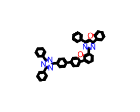 c1ccc(-c2nc(-c3ccccc3)nc(-c3ccc(-c4ccc5c(c4)oc4c(-c6nc(-c7ccccc7)c7oc8ccccc8c7n6)cccc45)cc3)n2)cc1